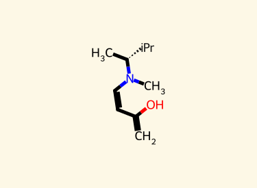 C=C(O)/C=C\N(C)[C@H](C)C(C)C